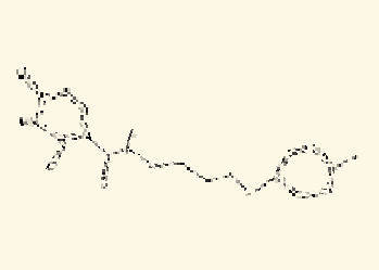 Cc1ccc(CCCCCNC(=O)n2ccc(=O)[nH]c2=O)cc1